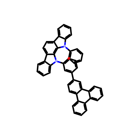 c1ccc(-n2c3ccccc3c3ccc4c5ccccc5n(-c5cccc(-c6ccc7c8ccccc8c8ccccc8c7c6)c5)c4c32)cc1